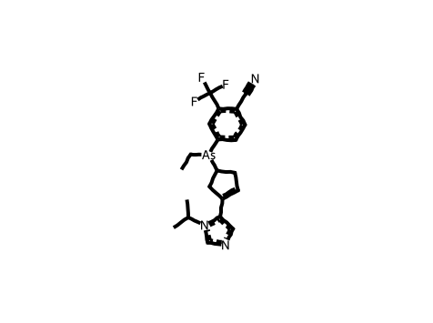 CC[As](c1ccc(C#N)c(C(F)(F)F)c1)C1CC=C(c2cncn2C(C)C)C1